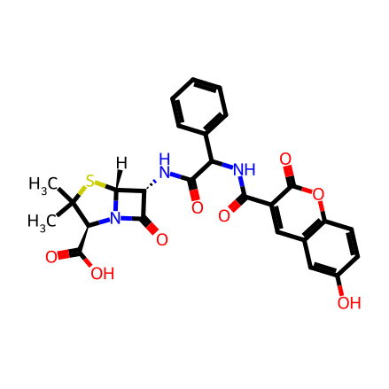 CC1(C)S[C@@H]2[C@H](NC(=O)C(NC(=O)c3cc4cc(O)ccc4oc3=O)c3ccccc3)C(=O)N2[C@H]1C(=O)O